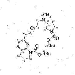 CN(CCOCCc1ccc2c(n1)N(C(=O)OC(C)(C)C)CCC2)[C@@H]1CCN(C(=O)OC(C)(C)C)C1